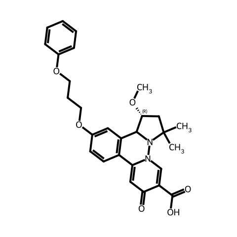 CO[C@@H]1CC(C)(C)N2C1c1cc(OCCCOc3ccccc3)ccc1-c1cc(=O)c(C(=O)O)cn12